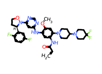 C=CC(=O)Nc1cc(Nc2cc(N3OCC[C@@H]3c3cc(F)ccc3F)ncn2)c(OC)cc1N1CCC(N2CCC(F)(F)CC2)CC1